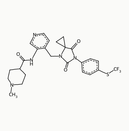 CN1CCC(C(=O)Nc2cnccc2CN2C(=O)N(c3ccc(SC(F)(F)F)cc3)C(=O)C23CC3)CC1